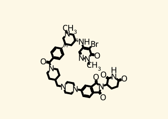 CN1C[C@H](Nc2cnn(C)c(=O)c2Br)C[C@H](c2ccc(C(=O)N3CCC(CN4CCN(c5ccc6c(c5)C(=O)N(C5CCC(=O)NC5=O)C6=O)CC4)CC3)cc2)C1